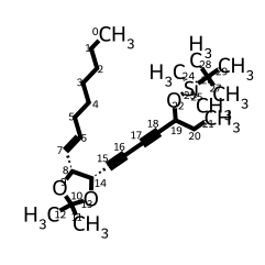 CCCCCC/C=C/[C@H]1OC(C)(C)O[C@H]1C#CC#CC(CC)O[Si](C)(C)C(C)(C)C